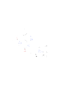 CC(=O)N(C)c1cc(Cl)cnc1N(C=O)C1CC(C)N2C(C1)C(C)C2(C)C